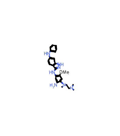 COc1cc(N(C)CCN(C)C)c(N)cc1Nc1n[nH]c2cc(Nc3ccccc3)ccc12